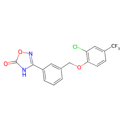 O=c1[nH]c(-c2cccc(COc3ccc(C(F)(F)F)cc3Cl)c2)no1